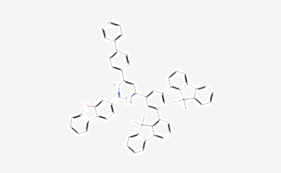 CC1(C)c2ccccc2-c2cccc(-c3cc(-c4cc(-c5ccc(-c6ccccc6)cc5)nc(-c5ccc6c(c5)oc5ccccc56)n4)cc(-c4cccc5c4C(C)(C)c4ccccc4-5)c3)c21